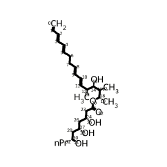 C=C/C=C/C=C/CC/C=C/C=C/[C@H](C)[C@@H](O)[C@@H](C)[C@H](C)OC(=O)C[C@H](O)C[C@H](O)C[C@H](O)CCC